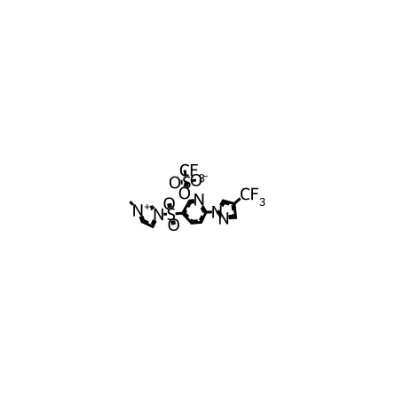 C[n+]1ccn(S(=O)(=O)c2ccc(-n3cc(C(F)(F)F)cn3)nc2)c1.O=S(=O)([O-])C(F)(F)F